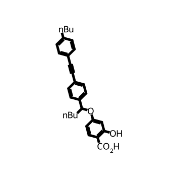 CCCCc1ccc(C#Cc2ccc(C(CCCC)Oc3ccc(C(=O)O)c(O)c3)cc2)cc1